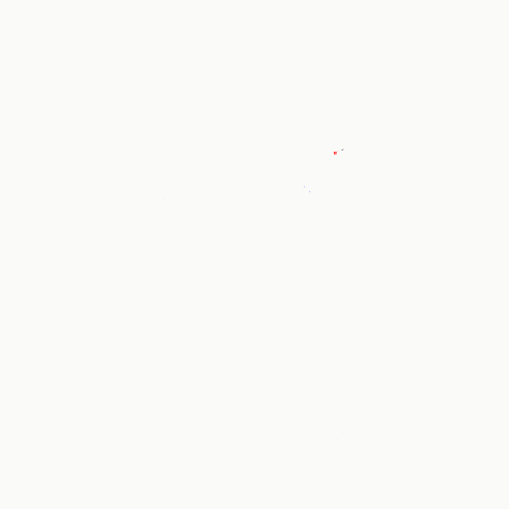 c1cc(-c2ccc(N(c3cc(-c4ccc5ccccc5c4)ccc3-c3ccc4ccccc4c3)c3cccc4ccccc34)cc2)cc(-c2ccc3ccccc3c2)c1